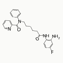 Nc1cc(F)ccc1NC(=O)CCCCCN(C(=O)c1ccccn1)c1ccccc1